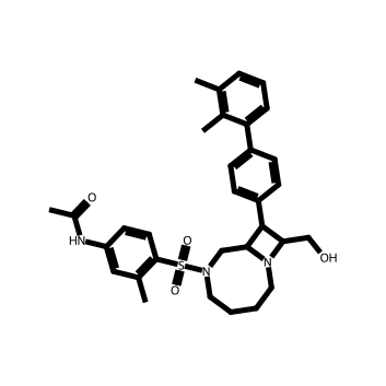 CC(=O)Nc1ccc(S(=O)(=O)N2CCCCN3C(CO)C(c4ccc(-c5cccc(C)c5C)cc4)C3C2)c(C)c1